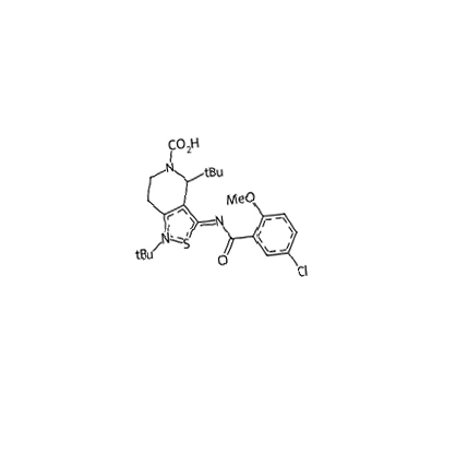 COc1ccc(Cl)cc1C(=O)N=c1sn(C(C)(C)C)c2c1C(C(C)(C)C)N(C(=O)O)CC2